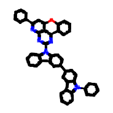 c1ccc(-c2cc3c4c(nc(-n5c6ccccc6c6cc(-c7ccc8c(c7)c7ccccc7n8-c7ccccc7)ccc65)nc4n2)-c2ccccc2O3)cc1